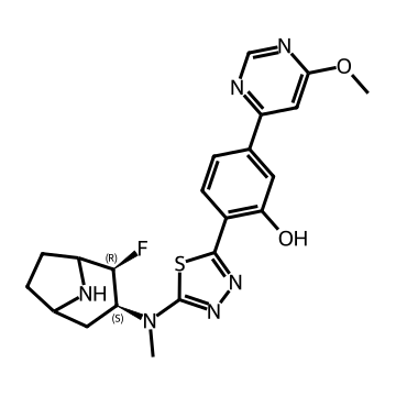 COc1cc(-c2ccc(-c3nnc(N(C)[C@H]4CC5CCC(N5)[C@H]4F)s3)c(O)c2)ncn1